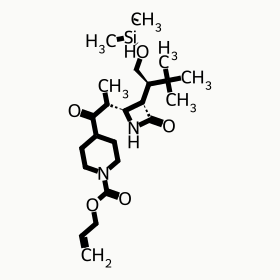 C=CCOC(=O)N1CCC(C(=O)C(C)[C@H]2NC(=O)[C@H]2[C@@H](CO[SiH](C)C)C(C)(C)C)CC1